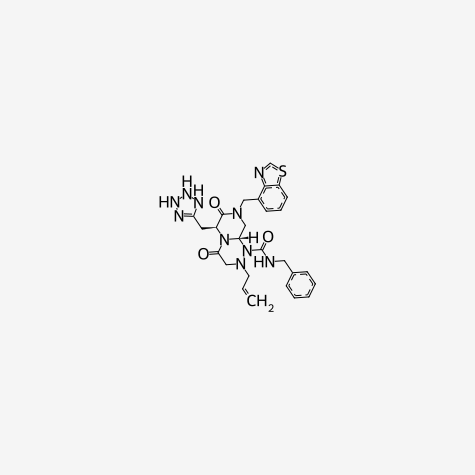 C=CCN1CC(=O)N2[C@@H](CC3=NNNN3)C(=O)N(Cc3cccc4scnc34)C[C@@H]2N1C(=O)NCc1ccccc1